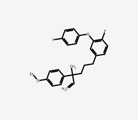 C=CC(C)(CCCc1ccc(F)c(Oc2ccc(F)cc2)c1)c1ccc(OCC)cc1